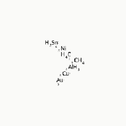 C.C.[AlH3].[Au].[Cu].[Ni].[SnH2]